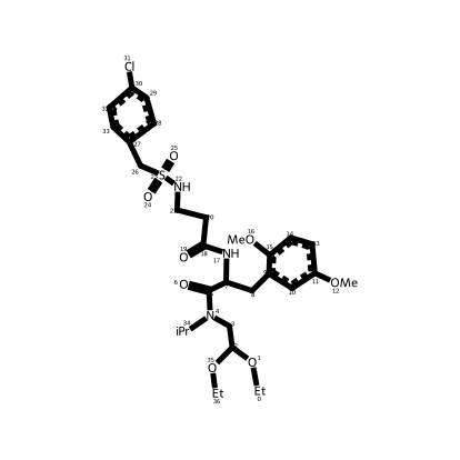 CCOC(CN(C(=O)C(Cc1cc(OC)ccc1OC)NC(=O)CCNS(=O)(=O)Cc1ccc(Cl)cc1)C(C)C)OCC